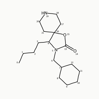 CCCCC1N(CC2CCCCC2)C(=O)OC12CCNCC2